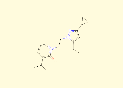 CCc1cc(C2CC2)nn1CCn1cccc(C(C)C)c1=O